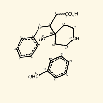 O=C(O)CC(Oc1ccccc1)C1(O)CCNCC1.O=Cc1ccccc1